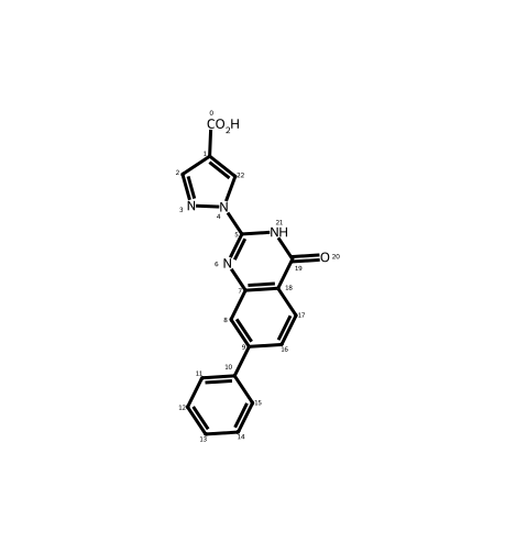 O=C(O)c1cnn(-c2nc3cc(-c4ccccc4)ccc3c(=O)[nH]2)c1